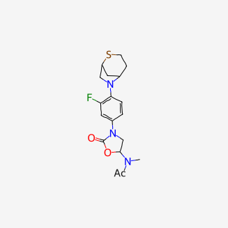 CC(=O)N(C)C1CN(c2ccc(N3CC4CC3CCS4)c(F)c2)C(=O)O1